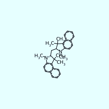 CN1c2ccc3ccccc3c2C(C)(C)C1CC1=[N+](C)c2ccc3ccccc3c2C1(C)C